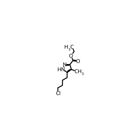 CCOC(=O)c1n[nH]c(CCCCCl)c1C